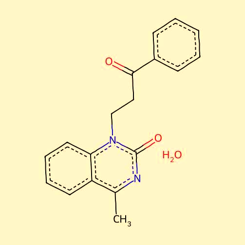 Cc1nc(=O)n(CCC(=O)c2ccccc2)c2ccccc12.O